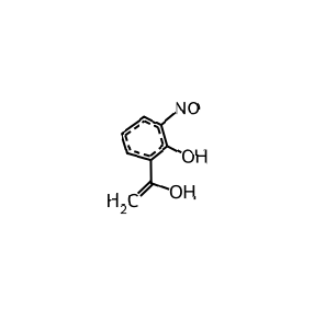 C=C(O)c1cccc(N=O)c1O